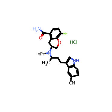 CCCN(C(C)CCc1c[nH]c2ccc(C#N)cc12)C1COc2c(F)ccc(C(N)=O)c2C1.Cl